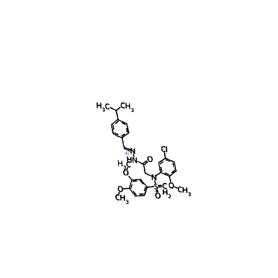 C=S(=O)(c1ccc(OC)c(OC)c1)N(CC(=O)N/N=C/c1ccc(C(C)C)cc1)c1cc(Cl)ccc1OC